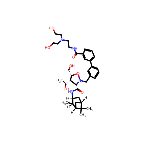 C[C@@H]1[C@@H](NC(=O)[C@@H]2[C@H]([C@H](C)O)[C@H](CO)ON2Cc2cccc(-c3cccc(C(=O)NCCN(CCO)CCO)c3)c2)C[C@H]2C[C@@H]1C2(C)C